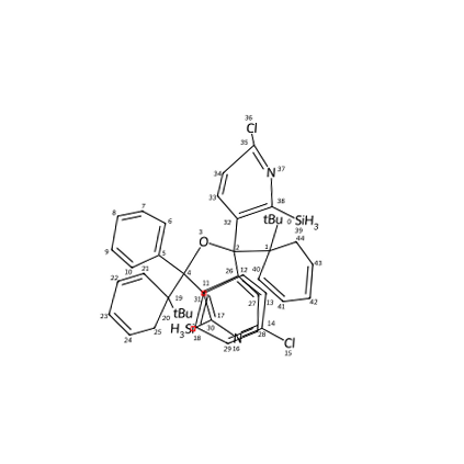 CC(C)(C)C1(C(OC(c2ccccc2)(c2ccc(Cl)nc2[SiH3])C2(C(C)(C)C)C=CC=CC2)(c2ccccc2)c2ccc(Cl)nc2[SiH3])C=CC=CC1